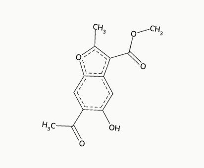 COC(=O)c1c(C)oc2cc(C(C)=O)c(O)cc12